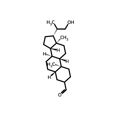 CC(CO)[C@H]1CC[C@H]2[C@@H]3CC[C@H]4CC(C=O)CC[C@]4(C)[C@H]3CC[C@]12C